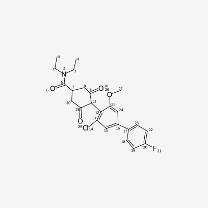 CCN(CC)C(=O)C1CC(=O)C(c2c(Cl)cc(-c3ccc(F)cc3)cc2OC)C(=O)C1